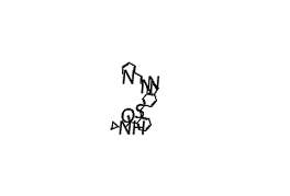 O=C(NC1CC1)c1ccccc1Sc1ccc2cnn(C=Cc3ccccn3)c2c1